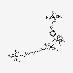 CC(C)(C)OCCOCCOCCOCCOC(C)(C)CCC(c1ccc(OCCOC(C)(C)C)nc1)C(C)(C)C